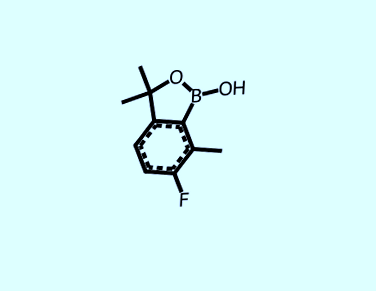 Cc1c(F)ccc2c1B(O)OC2(C)C